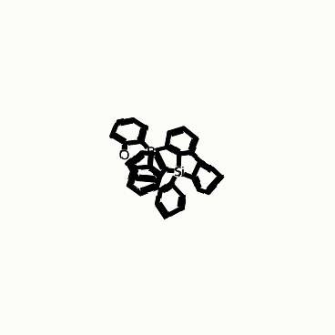 c1ccc([Si]2(c3ccccc3)c3ccccc3-c3cccc(B4c5ccccc5Oc5ccccc54)c32)cc1